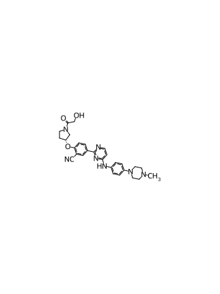 CN1CCN(c2ccc(Nc3ccnc(-c4ccc(O[C@@H]5CCN(C(=O)CO)C5)c(C#N)c4)n3)cc2)CC1